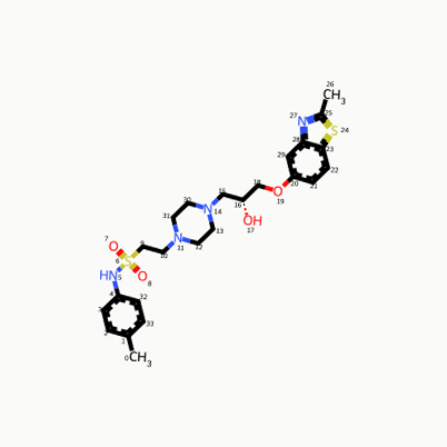 Cc1ccc(NS(=O)(=O)CCN2CCN(C[C@@H](O)COc3ccc4sc(C)nc4c3)CC2)cc1